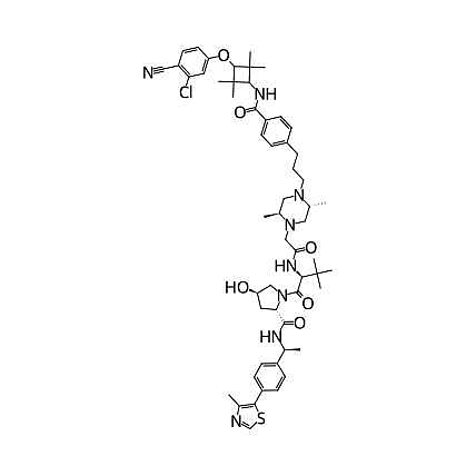 Cc1ncsc1-c1ccc([C@H](C)NC(=O)[C@@H]2C[C@@H](O)CN2C(=O)[C@@H](NC(=O)CN2C[C@@H](C)N(CCCc3ccc(C(=O)NC4C(C)(C)C(Oc5ccc(C#N)c(Cl)c5)C4(C)C)cc3)C[C@@H]2C)C(C)(C)C)cc1